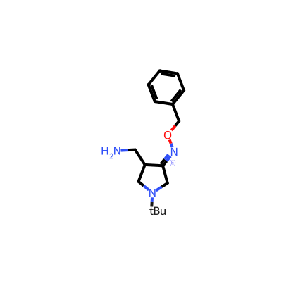 CC(C)(C)N1C/C(=N/OCc2ccccc2)C(CN)C1